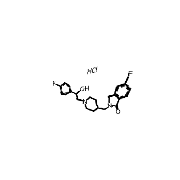 Cl.O=C1c2ccc(F)cc2CN1CC1CCN(CC(O)c2ccc(F)cc2)CC1